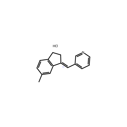 Cc1ccc2c(c1)/C(=C/c1cccnc1)CC2.Cl